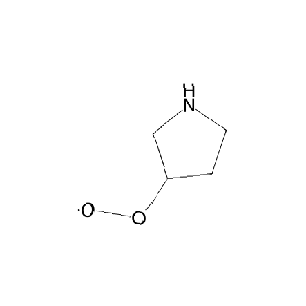 [O]OC1CCNC1